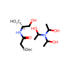 CC(O)N(C(C)O)C(C)O.CCCCCCCCCCCC(=O)N[C@@H](CO)C(=O)O